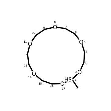 C[SiH]1OCCOCCOCCOCCOCCO1